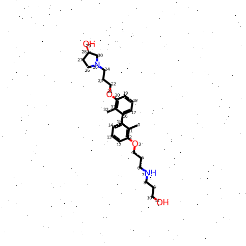 Cc1c(OCCCNCCCO)cccc1-c1cccc(OCCCN2CC[C@@H](O)C2)c1C